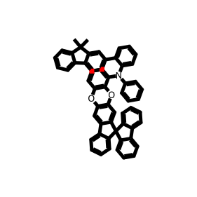 CC1(C)c2ccccc2-c2ccc(-c3ccccc3N(c3ccccc3)c3cccc4c3Oc3cc5c(cc3O4)-c3ccccc3C53c4ccccc4-c4ccccc43)cc21